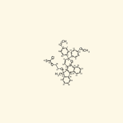 COc1ccc(C2(c3ccc(OC)cc3)C=Cc3c4c(c5ccccc5c3O2)-c2ccccc2C4(C)OCCOC(=S)Cl)cc1